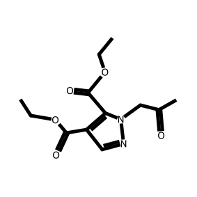 CCOC(=O)c1cnn(CC(C)=O)c1C(=O)OCC